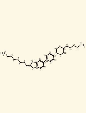 CCCCCCCCC1Cc2ccc(-c3ccc([C@H]4CC[C@H](CCCCC)CC4)cc3)cc2C1